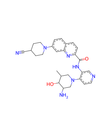 CC1CN(c2ccncc2NC(=O)c2ccc3ccc(N4CCC(C#N)CC4)cc3n2)CC(N)C1O